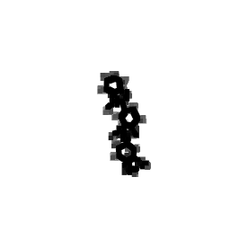 Cn1cnc2c1CC([n+]1nc3ccc(-c4nc5ccccc5n4C)cc3n1C)CC2